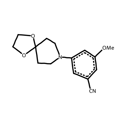 COc1cc(C#N)cc(N2CCC3(CC2)OCCO3)c1